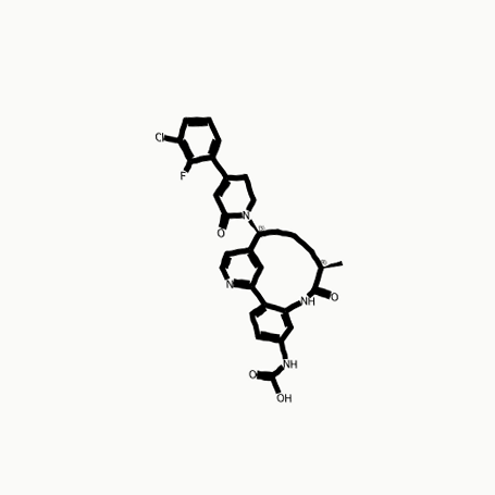 C[C@@H]1CCC[C@H](N2CCC(c3cccc(Cl)c3F)=CC2=O)c2ccnc(c2)-c2ccc(NC(=O)O)cc2NC1=O